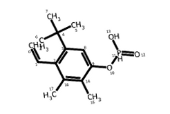 C=Cc1c(C(C)(C)C)cc(O[PH](=O)O)c(C)c1C